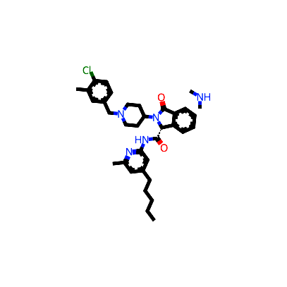 CCCCCc1cc(C)nc(NC(=O)[C@H]2c3ccccc3C(=O)N2C2CCN(Cc3ccc(Cl)c(C)c3)CC2)c1.CNC